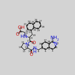 Nc1nccc2cc(CNC(=O)C3CCCN3C(=O)C(Cc3cccc4ccccc34)NCC(=O)O)ccc12